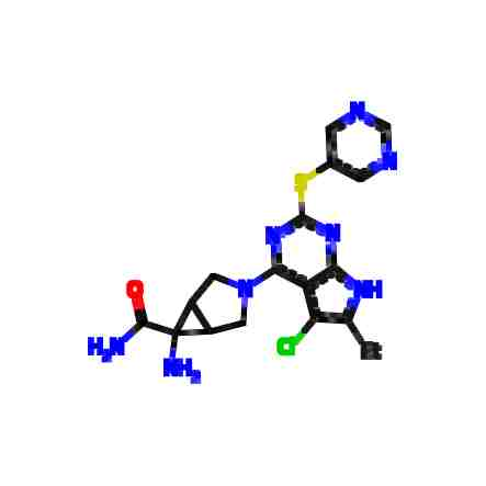 CCc1[nH]c2nc(Sc3cncnc3)nc(N3CC4C(C3)C4(N)C(N)=O)c2c1Cl